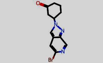 O=C1CCCC(n2cc3cc(Br)ncc3n2)C1